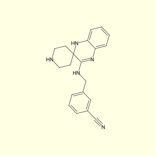 N#Cc1cccc(CNC2=Nc3ccccc3NC23CCNCC3)c1